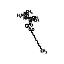 C#C[C@]1(COC(=O)c2ccccc2COC(=O)CCCCCCCCCCCCCCC)O[C@@H](n2cnc3c(N)nc(C)nc32)C[C@@H]1O